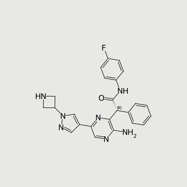 Nc1ncc(-c2cnn(C3CNC3)c2)nc1[C@H](C(=O)Nc1ccc(F)cc1)c1ccccc1